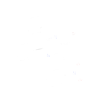 O=[N+]([O-])c1ccccc1-c1ccc(Br)c2nc(-c3ccccc3)c(-c3ccccc3)nc12